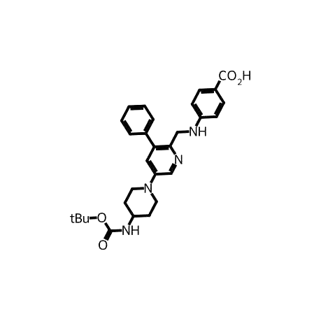 CC(C)(C)OC(=O)NC1CCN(c2cnc(CNc3ccc(C(=O)O)cc3)c(-c3ccccc3)c2)CC1